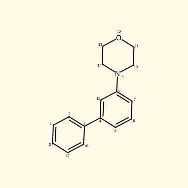 [c]1ccc(-c2cccc(N3CCOCC3)c2)cc1